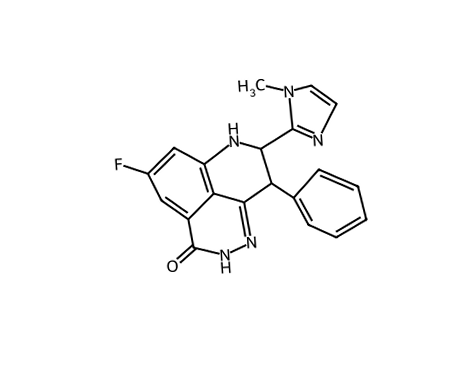 Cn1ccnc1C1Nc2cc(F)cc3c(=O)[nH]nc(c23)C1c1ccccc1